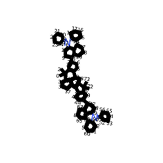 CC1(C)C2=C(CCC(C3=CC=C(N(c4ccccc4)C4C=CC=CC4)C4C=CC=CC34)=C2)c2cc3c(c4cccc1c24)-c1ccc(-c2ccc(N(c4ccccc4)c4ccccc4)c4ccccc24)cc1C3(C)C